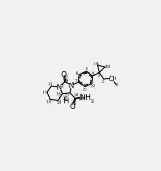 COCC1(c2ccc(N3C(=O)N4CCC[CH][C@@H]4C3C(N)=O)cc2)CC1